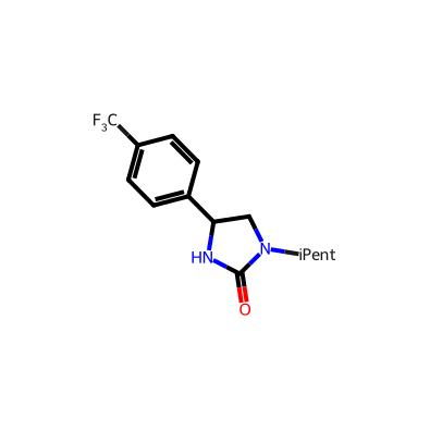 CCCC(C)N1CC(c2ccc(C(F)(F)F)cc2)NC1=O